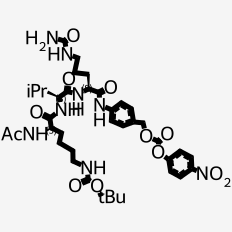 CC(=O)N[C@@H](CCCCNC(=O)OC(C)(C)C)C(=O)N[C@H](C(=O)N[C@@H](CCCNC(N)=O)C(=O)Nc1ccc(COC(=O)Oc2ccc([N+](=O)[O-])cc2)cc1)C(C)C